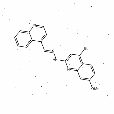 CCc1cc(NN=Cc2ccnc3ccccc23)nc2cc(OC)ccc12